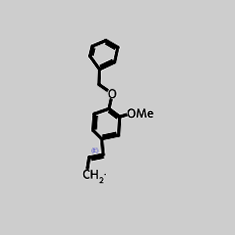 [CH2]/C=C/c1ccc(OCc2ccccc2)c(OC)c1